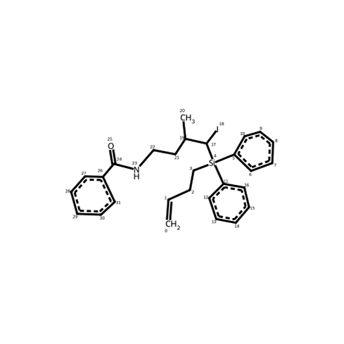 C=CCC[Si](c1ccccc1)(c1ccccc1)C(I)C(C)CCNC(=O)c1ccccc1